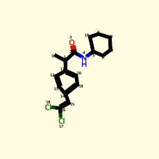 CC(C(=O)NC1CCCCC1)c1ccc(C=C(Cl)Cl)cc1